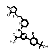 CN1CCC(NCc2cccc(Nc3sc(-c4ccc(C(C)(C)O)cc4F)cc3C(N)=O)n2)C1=O